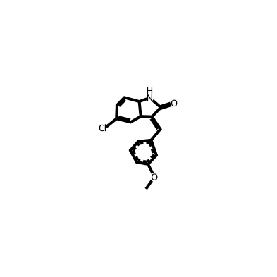 COc1cccc(/C=C2/C(=O)NC3C=CC(Cl)=CC23)c1